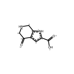 O=C(O)c1cc2c([nH]1)CNCC2=O